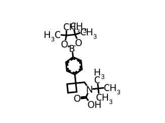 CC(C)(C)N(CC1(c2ccc(B3OC(C)(C)C(C)(C)O3)cc2)CCC1)C(=O)O